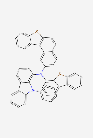 c1ccc(-n2c3ccccc3c3cccc(N(c4ccc5ccc6sc7ccccc7c6c5c4)c4cccc5c4sc4ccccc45)c32)cc1